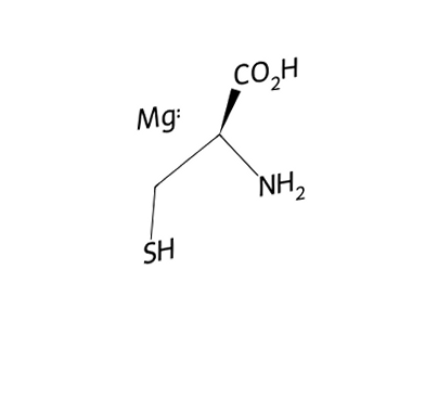 N[C@@H](CS)C(=O)O.[Mg]